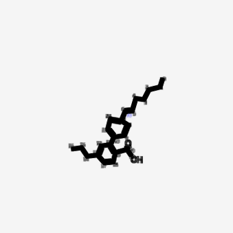 CCCCC/C=C/c1ccc(-c2cc(CCC)ccc2C(=O)O)cc1